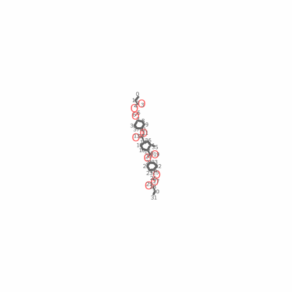 C=CC(=O)OCOc1ccc(OC(=O)c2ccc(C(=O)Oc3ccc(OCOC(=O)C=C)cc3)c(C)c2)cc1